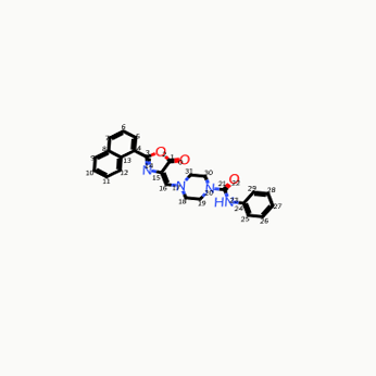 O=C1OC(c2cccc3ccccc23)=N/C1=C/N1CCN(C(=O)Nc2ccccc2)CC1